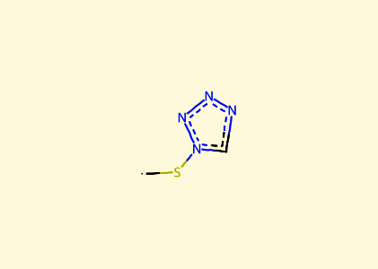 [CH2]Sn1cnnn1